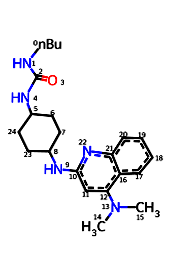 CCCCNC(=O)NC1CCC(Nc2cc(N(C)C)c3ccccc3n2)CC1